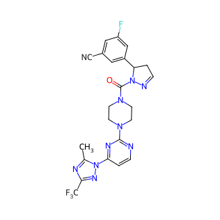 Cc1nc(C(F)(F)F)nn1-c1ccnc(N2CCN(C(=O)N3N=CCC3c3cc(F)cc(C#N)c3)CC2)n1